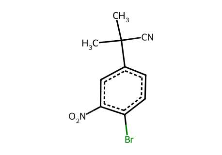 CC(C)(C#N)c1ccc(Br)c([N+](=O)[O-])c1